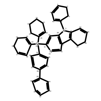 C1=CCCC(n2c3c(c4cnc([Si](C5=CCCC=C5)(C5=CCCCC5)c5ccc(-c6ccccc6)cc5)cc42)CCC=C3)=C1